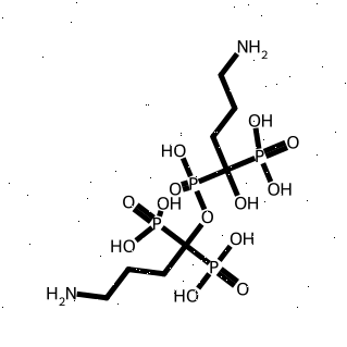 NCCCC(OP(=O)(O)C(O)(CCCN)P(=O)(O)O)(P(=O)(O)O)P(=O)(O)O